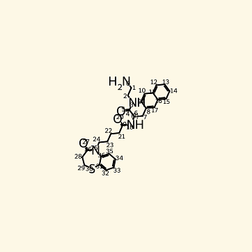 NCCNC(=O)[C@@H](Cc1ccc2ccccc2c1)NC(=O)CCCCN1C(=O)CCSc2ccccc21